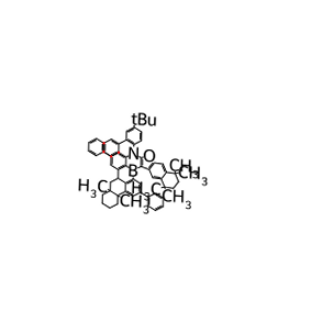 CC(C)(C)c1ccc(N2c3cc(-c4ccccc4)cc4c3B(c3cc(-c5ccccc5)cc5c3C4CC3(C)CCCCC53C)c3c2oc2cc4c(cc32)C(C)(C)CCC4(C)C)c(-c2ccccc2)c1